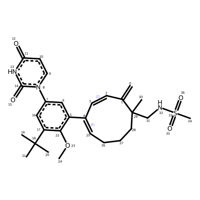 C=C1/C=C\C(c2cc(-n3ccc(=O)[nH]c3=O)cc(C(C)(C)C)c2OC)=C/CCCC1(C)CNS(C)(=O)=O